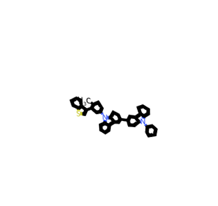 Cc1ccc(-n2c3ccccc3c3cc(-c4ccc5c(c4)c4ccccc4n5-c4ccccc4)ccc32)cc1-c1csc2ccccc12